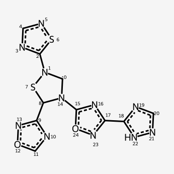 [CH]1N(c2ncns2)SC(c2ncon2)N1c1nc(-c2ncn[nH]2)no1